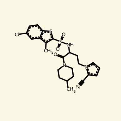 Cc1c(S(=O)(=O)NC(CCn2cccc2C#N)C(=O)N2CCC(C)CC2)sc2ccc(Cl)cc12